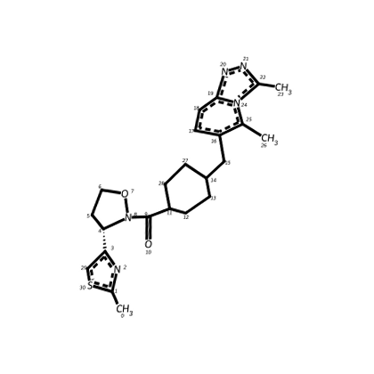 Cc1nc([C@@H]2CCON2C(=O)C2CCC(Cc3ccc4nnc(C)n4c3C)CC2)cs1